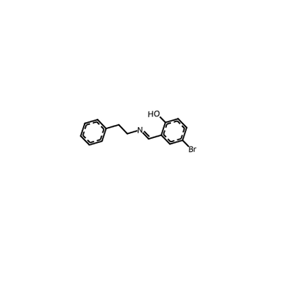 Oc1ccc(Br)cc1C=NCCc1ccccc1